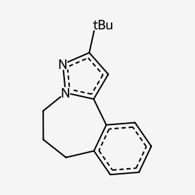 CC(C)(C)c1cc2n(n1)CCCc1ccccc1-2